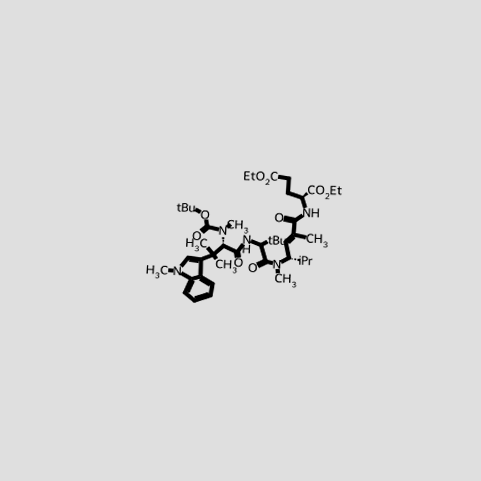 CCOC(=O)CC[C@H](NC(=O)/C(C)=C/[C@H](C(C)C)N(C)C(=O)C(NC(=O)[C@@H](N(C)C(=O)OC(C)(C)C)C(C)(C)c1cn(C)c2ccccc12)C(C)(C)C)C(=O)OCC